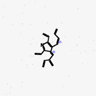 C=C/C=C\C1=C(C=C)N=C(C=C)/C1=C\C(=C)C=C